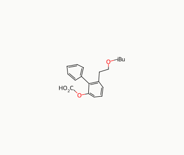 CCC(C)OCCc1cccc(OC(=O)O)c1-c1ccccc1